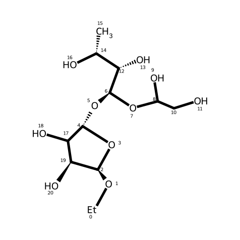 CCO[C@@H]1O[C@@H](O[C@H](OC(O)CO)[C@@H](O)[C@@H](C)O)C(O)[C@@H]1O